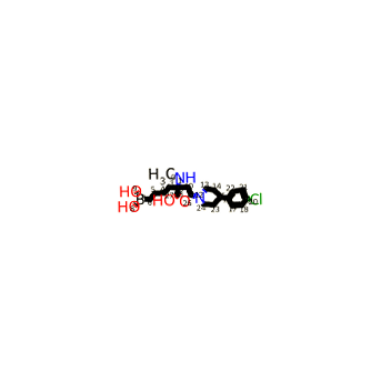 CNC(CCCCB(O)O)(CCN1CCC(c2ccc(Cl)cc2)CC1)C(=O)O